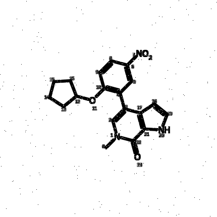 Cn1cc(-c2cc([N+](=O)[O-])ccc2OC2CCCC2)c2cc[nH]c2c1=O